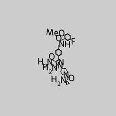 COc1ccc(F)cc1C(=O)NCc1ccc(-c2nn(C3CCN(C(=O)C4(N)CC4)CC3)c(N)c2C(N)=O)cc1